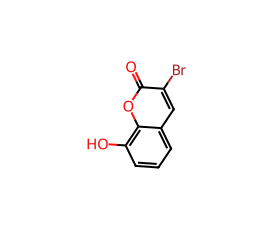 O=c1oc2c(O)cccc2cc1Br